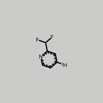 [2H]c1ccnc(C(F)F)c1